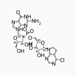 Nc1nc2c(ncn2[C@@H]2O[C@H](CO)[C@@H](O)[C@H]2P(=O)(O)OC[C@H]2O[C@@H](n3ccc4c(Cl)ncnc43)[C@H](O)[C@@H]2O)c(=O)[nH]1